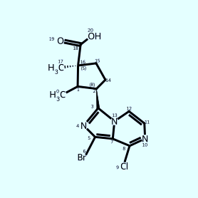 CC1[C@H](c2nc(Br)c3c(Cl)nccn23)CC[C@]1(C)C(=O)O